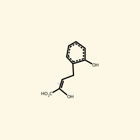 O=C(O)/C(O)=C/Cc1ccccc1O